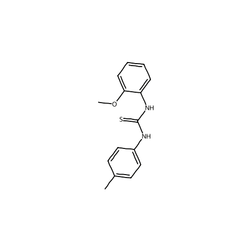 COc1ccccc1NC(=S)Nc1ccc(C)cc1